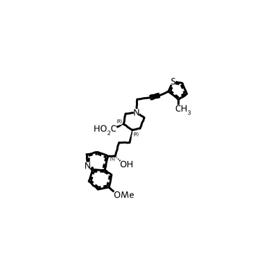 COc1ccc2nccc([C@@H](O)CC[C@@H]3CCN(CC#Cc4sccc4C)C[C@@H]3C(=O)O)c2c1